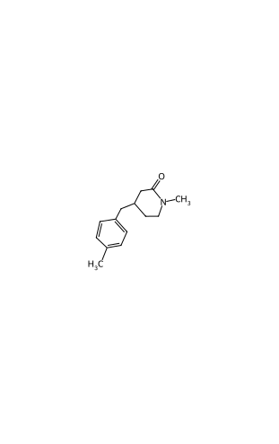 Cc1ccc(CC2CCN(C)C(=O)C2)cc1